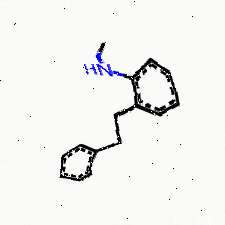 CNc1ccccc1CCc1ccccc1